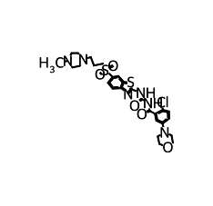 CN1CCN(CCCS(=O)(=O)c2ccc3nc(NC(=O)NC(=O)c4cc(N5CCOCC5)ccc4Cl)sc3c2)CC1